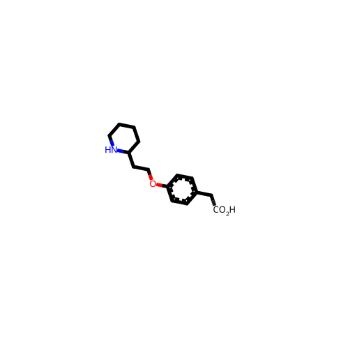 O=C(O)Cc1ccc(OCCC2CCCCN2)cc1